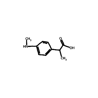 CNc1ccc(C(C)C(=O)O)cc1